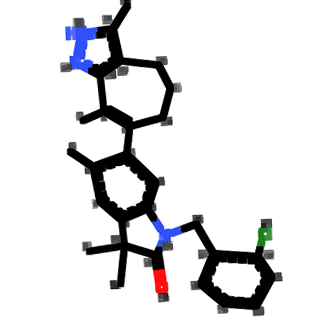 CC1=C(c2cc3c(cc2C)C(C)(C)C(=O)N3Cc2ccccc2Cl)CCCc2c1n[nH]c2C